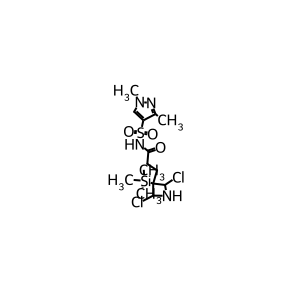 Cc1nn(C)cc1S(=O)(=O)NC(=O)CCC1([Si](C)(C)C)C(Cl)NC1Cl